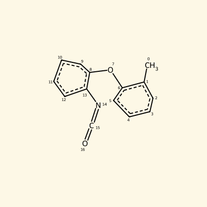 Cc1ccccc1Oc1ccccc1N=C=O